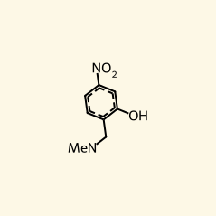 CNCc1ccc([N+](=O)[O-])cc1O